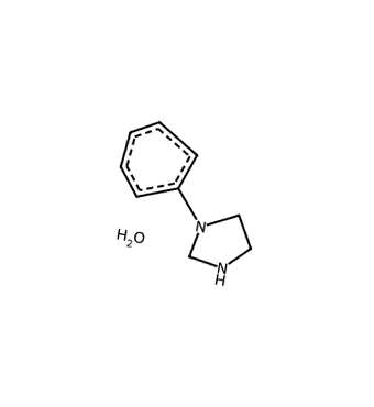 O.c1ccc(N2CCNC2)cc1